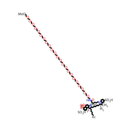 CCCCN1C(=CC=CC=CC2=[N+](CCCCCC(=O)NCCOCCOCCOCCOCCOCCOCCOCCOCCOCCOCCOCCOCCOCCOCCOCCOCCOCCOCCOCCOCCOCCOCCOCCOC)c3ccc(S(=O)(=O)O)cc3C2(C)C)C(C)(CCCCCC(C)=O)c2c1ccc1c(S(=O)(=O)[O-])cc(S(=O)(=O)O)cc21